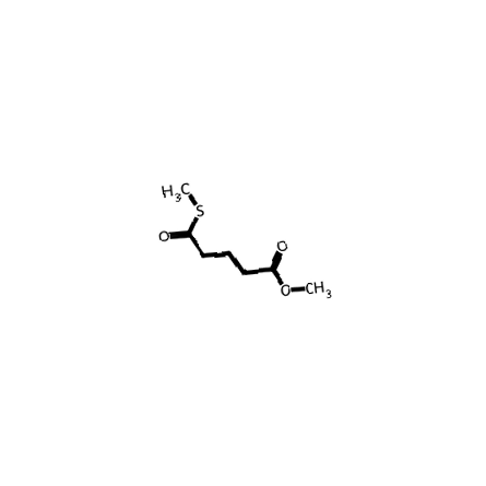 COC(=O)CCCC(=O)SC